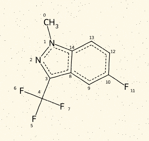 Cn1nc(C(F)(F)F)c2cc(F)ccc21